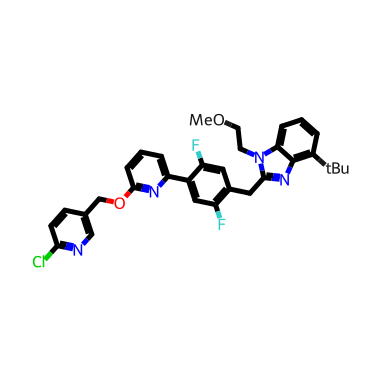 COCCn1c(Cc2cc(F)c(-c3cccc(OCc4ccc(Cl)nc4)n3)cc2F)nc2c(C(C)(C)C)cccc21